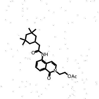 CC(=O)OCCn1ccc2c(NC(=O)CC3CC(C)(C)CC(C)(C)C3)cccc2c1=O